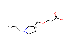 CCCN1CC[C@H](COCCC(=O)O)C1